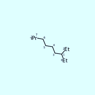 CCC(CC)CCCC[C](C)C